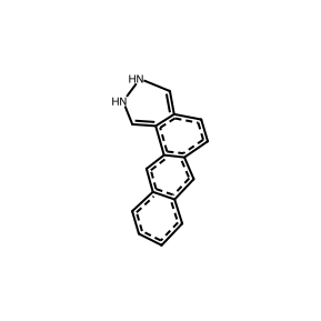 C1=c2ccc3cc4ccccc4cc3c2=CNN1